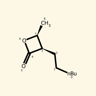 CCCCCC[C@H]1C(=O)O[C@H]1C